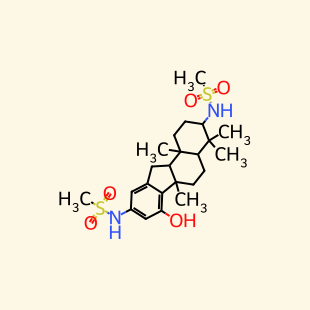 CC12CCC3C(C)(C)C(NS(C)(=O)=O)CCC3(C)C1Cc1cc(NS(C)(=O)=O)cc(O)c12